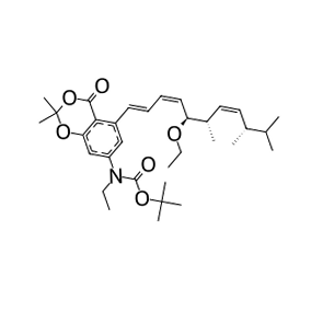 CCO[C@@H](/C=C\C=C\c1cc(N(CC)C(=O)OC(C)(C)C)cc2c1C(=O)OC(C)(C)O2)[C@@H](C)/C=C\[C@@H](C)C(C)C